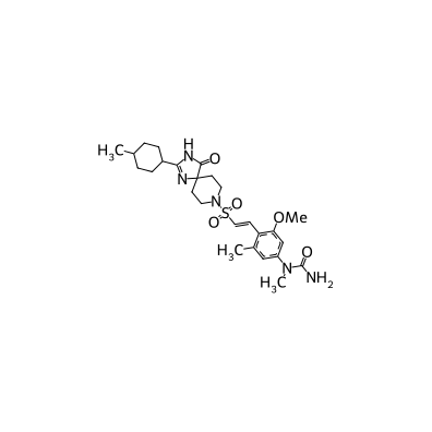 COc1cc(N(C)C(N)=O)cc(C)c1C=CS(=O)(=O)N1CCC2(CC1)N=C(C1CCC(C)CC1)NC2=O